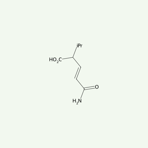 CC(C)C(C=CC(N)=O)C(=O)O